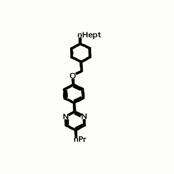 CCCCCCCC1CCC(COc2ccc(-c3ncc(CCC)cn3)cc2)CC1